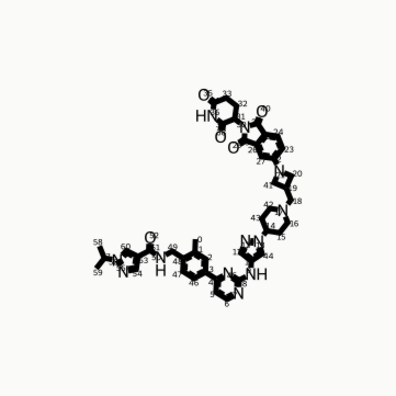 Cc1cc(-c2ccnc(Nc3cnn(C4CCN(CC5CN(c6ccc7c(c6)C(=O)N(C6CCC(=O)NC6=O)C7=O)C5)CC4)c3)n2)ccc1CNC(=O)c1cnn(C(C)C)c1